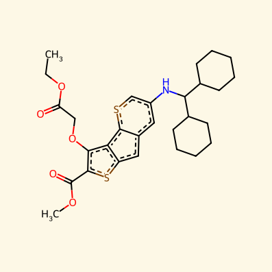 CCOC(=O)COc1c(C(=O)OC)sc2cc3cc(NC(C4CCCCC4)C4CCCCC4)csc-3c12